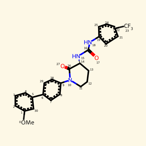 COc1cccc(-c2ccc(N3CCC[C@@H](NC(=O)Nc4ccc(C(F)(F)F)cc4)C3=O)cc2)c1